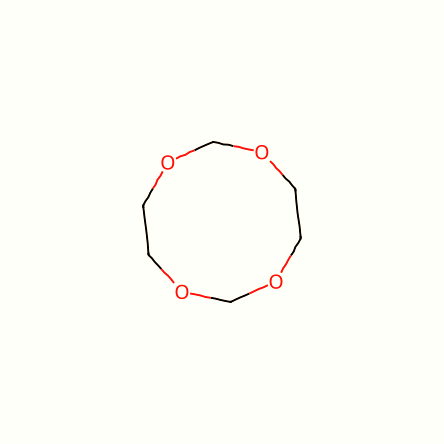 C1COCOCCOCO1